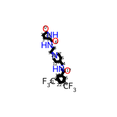 O=C1CC[C@H](C(=O)NCCN2CCC(CNC(=O)c3cc(C(F)(F)F)cc(C(F)(F)F)c3)CC2)N1